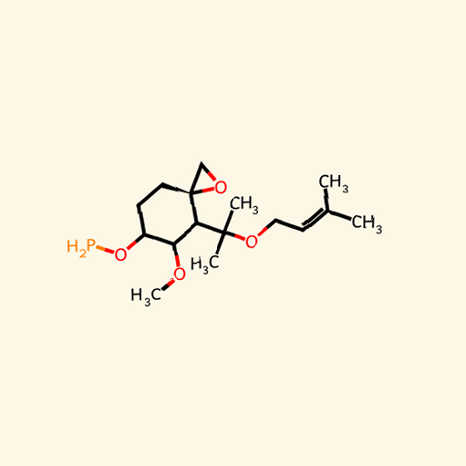 COC1C(OP)CC[C@]2(CO2)C1C(C)(C)OCC=C(C)C